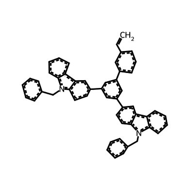 C=Cc1cccc(-c2cc(-c3ccc4c(c3)c3ccccc3n4Cc3ccccc3)cc(-c3ccc4c(c3)c3ccccc3n4Cc3ccccc3)c2)c1